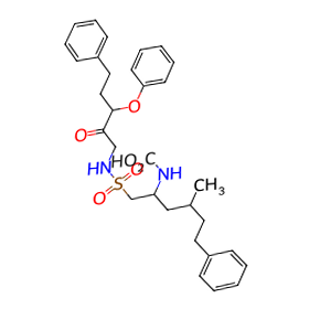 CC(CCc1ccccc1)CC(CS(=O)(=O)NCC(=O)C(CCc1ccccc1)Oc1ccccc1)NC(=O)O